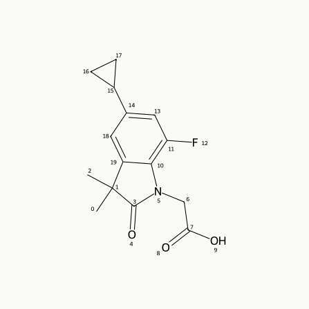 CC1(C)C(=O)N(CC(=O)O)c2c(F)cc(C3CC3)cc21